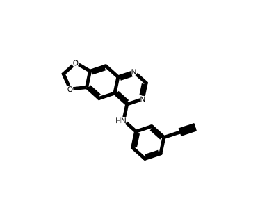 C#Cc1cccc(Nc2ncnc3cc4c(cc23)OCO4)c1